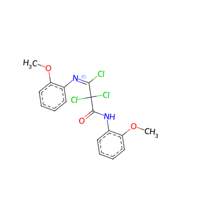 COc1ccccc1/N=C(/Cl)C(Cl)(Cl)C(=O)Nc1ccccc1OC